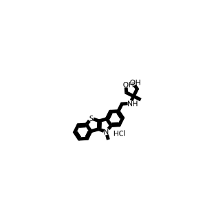 Cl.Cn1c2ccc(CNC(C)(CO)CO)cc2c2sc3ccccc3c21